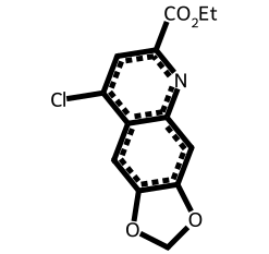 CCOC(=O)c1cc(Cl)c2cc3c(cc2n1)OCO3